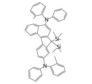 Cc1ccccc1N(c1ccccc1)c1ccc2c(c1)C([Si](C)(C)C)([Si](C)(C)C)c1cc(N(c3ccccc3)c3ccccc3C)c3ccccc3c1-2